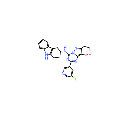 Fc1cncc(-c2nc(N[C@@H]3CCc4[nH]c5ccccc5c4C3)n3nc4c(c3n2)COCC4)c1